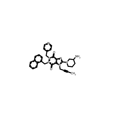 CC#CCn1c(N2CCCC(N)C2)nc2c(=O)n(Cc3ccncc3)n(Cc3cccc4ccccc34)c(=O)c21